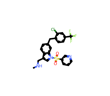 CNCc1cn(S(=O)(=O)c2cccnc2)c2cc(Cc3ccc(C(F)(F)F)cc3Cl)ccc12